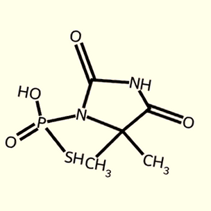 CC1(C)C(=O)NC(=O)N1P(=O)(O)S